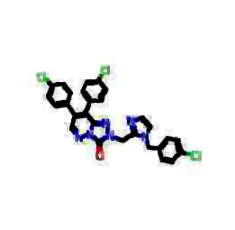 O=c1n(Cc2nccn2Cc2ccc(Cl)cc2)nc2c(-c3ccc(Cl)cc3)c(-c3ccc(Cl)cc3)cnn12